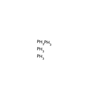 P.P.P.P